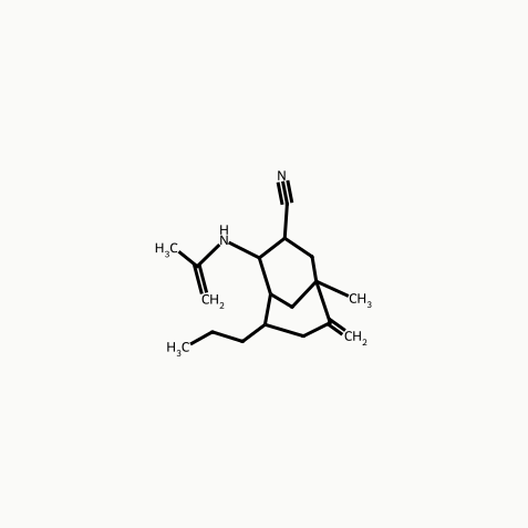 C=C(C)NC1C(C#N)CC2(C)CC1C(CCC)CC2=C